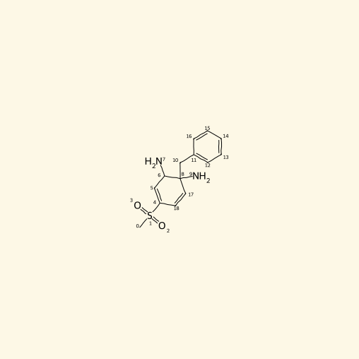 CS(=O)(=O)C1=CC(N)C(N)(Cc2ccccc2)C=C1